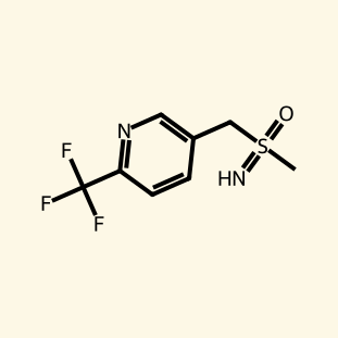 CS(=N)(=O)Cc1ccc(C(F)(F)F)nc1